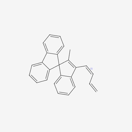 C=C/C=C\C1=C(C)C2(c3ccccc31)c1ccccc1-c1ccccc12